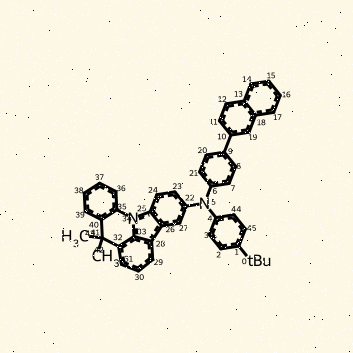 CC(C)(C)c1ccc(N(c2ccc(-c3ccc4ccccc4c3)cc2)c2ccc3c(c2)c2cccc4c2n3-c2ccccc2C4(C)C)cc1